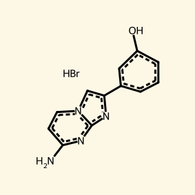 Br.Nc1ccn2cc(-c3cccc(O)c3)nc2n1